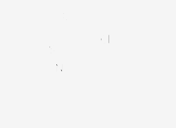 Clc1snc(-c2ccccc2)c1Cl